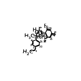 C=Cc1ccc(C(C)(C)BC(C)c2c(F)cc(F)cc2F)cc1